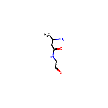 CC(N)CC(=O)NC[C]=O